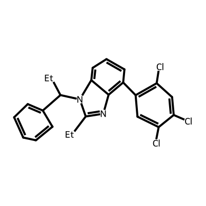 CCc1nc2c(-c3cc(Cl)c(Cl)cc3Cl)cccc2n1C(CC)c1ccccc1